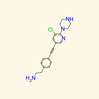 NCCc1ccc(C#Cc2cnc(N3CCNCC3)c(Cl)c2)cc1